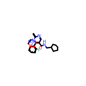 C=C(/N=C\C(C(=O)NCC1CCCCC1)=C(/N)c1ccccc1F)N1CCOCC1